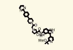 COC(C)(C)c1cc(-c2n[nH]c3ccc(NC(=O)[C@]4(OC)CCN(CC(=O)N5CC=C(c6ccc(-c7ncccn7)cc6)CC5)C4)cc23)ccn1